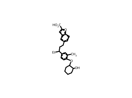 CCC(CCc1ccc2oc(C(=O)O)cc2c1)c1ccc(OC2CCCCC2O)c(C)c1